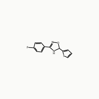 Fc1ccc(C2=NOC(c3cccs3)N2)cc1